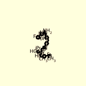 Cc1ncsc1-c1ccc([C@H](C)NC(=O)[C@@H]2C[C@@H](O)CN2C(=O)C(c2cc(N3CCC(CN4CCC(n5nc(N)c6nnc(-c7cc(F)ccc7O)cc65)CC4)CC3)no2)C(C)C)cc1